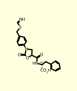 N=CSCc1ccc(N2CC(C(=O)N[C@H](Cc3ccccc3)C(=O)O)OC2=O)cc1